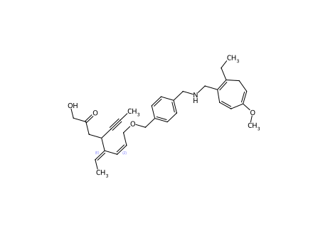 CC#CC(CC(=O)CO)C(/C=C\COCc1ccc(CNCC2=C(CC)CC=C(OC)C=C2)cc1)=C/C